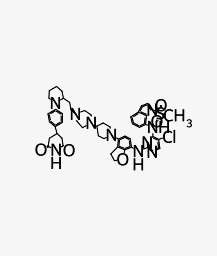 CS(=O)(=O)n1ccc2cccc(Nc3nc(Nc4ccc(N5CCC(N6CCN(CCC7CCCCN7c7ccc(C8CC(=O)NC(=O)C8)cc7)CC6)CC5)c5c4OCC5)ncc3Cl)c21